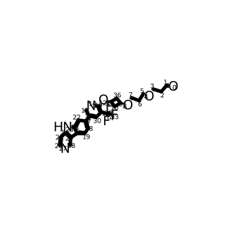 O=CCCOCCCO[C@H]1C[C@H](Oc2ncc(-c3ccc4c(c3)[nH]c3ccncc34)cc2C(F)(F)F)C1